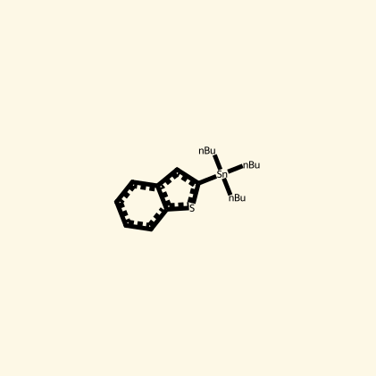 CCC[CH2][Sn]([CH2]CCC)([CH2]CCC)[c]1cc2ccccc2s1